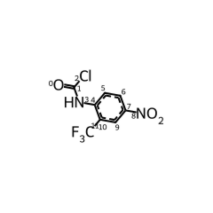 O=C(Cl)Nc1ccc([N+](=O)[O-])cc1C(F)(F)F